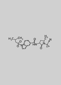 CC(C)CS(=O)(=O)n1ccc2cc(C(=O)NC3CC(C)N(C4(C#N)CC4)C3=O)ccc21